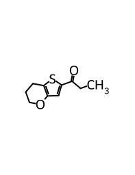 CCC(=O)c1cc2c(s1)CCCO2